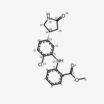 COC(=O)c1ccccc1Nc1cc([C@@H]2CNC(=O)C2)ccc1Cl